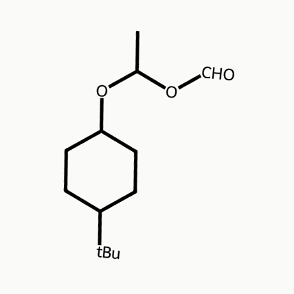 CC(OC=O)OC1CCC(C(C)(C)C)CC1